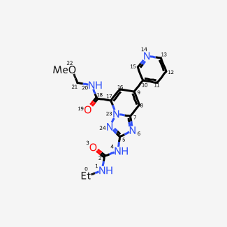 CCNC(=O)Nc1nc2cc(-c3cccnc3)cc(C(=O)NCOC)n2n1